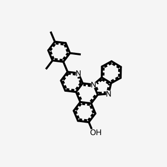 Cc1cc(C)c(-c2ccc3c4ccc(O)cc4c4nc5ccccc5n4c3n2)c(C)c1